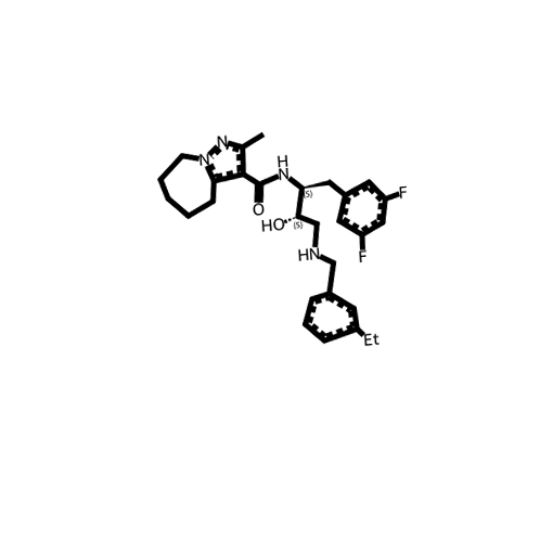 CCc1cccc(CNC[C@H](O)[C@H](Cc2cc(F)cc(F)c2)NC(=O)c2c(C)nn3c2CCCCC3)c1